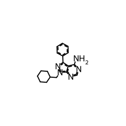 Nc1ncnc2c1c(-c1ccccc1)nn2CC1CCCCC1